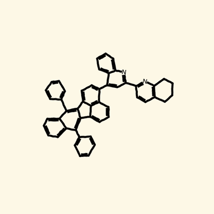 c1ccc(-c2c3c(c(-c4ccccc4)c4ccccc24)-c2ccc(-c4cc(-c5ccc6c(n5)CCCC6)nc5ccccc45)c4cccc-3c24)cc1